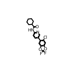 O=C(Nc1ccc(-c2cc3c(cc2Cl)OC(F)(F)O3)cn1)C1CCCCC1